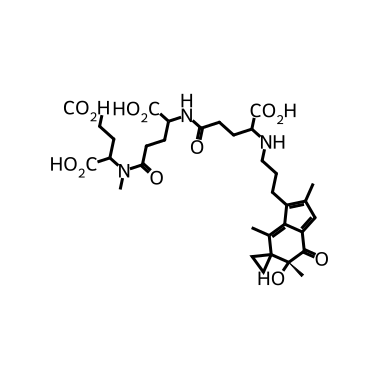 CC1=C(CCCNC(CCC(=O)NC(CCC(=O)N(C)C(CCC(=O)O)C(=O)O)C(=O)O)C(=O)O)C2=C(C)C3(CC3)[C@@](C)(O)C(=O)C2=C1